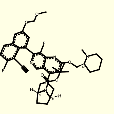 C#Cc1c(F)ccc2cc(OCOC)cc(-c3ncc4c(N5C[C@H]6CC[C@@H](C5)N6C(=O)OC(C)(C)C)nc(OC[C@@H]5CCCCN5C)nc4c3F)c12